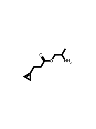 CC(N)COC(=O)CCC1=CC1